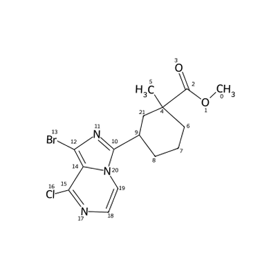 COC(=O)C1(C)CCCC(c2nc(Br)c3c(Cl)nccn23)C1